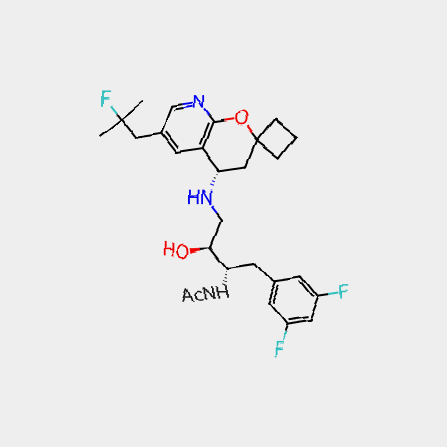 CC(=O)N[C@@H](Cc1cc(F)cc(F)c1)[C@@H](O)CN[C@H]1CC2(CCC2)Oc2ncc(CC(C)(C)F)cc21